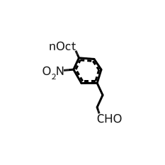 CCCCCCCCc1ccc(CCC=O)cc1[N+](=O)[O-]